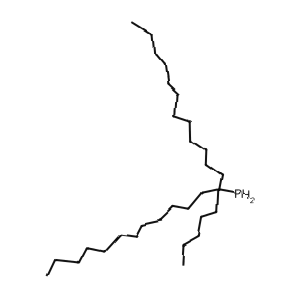 CCCCCCCCCCCCC(P)(CCCCC)CCCCCCCCCCCC